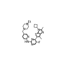 CCN1CCN(Cc2ccc(Nc3ncc(F)c(-c4sc5c(nc(C)n5C5CCC5)c4C)n3)nc2)CC1